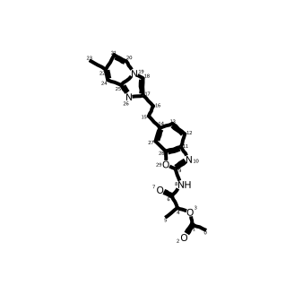 CC(=O)OC(C)C(=O)Nc1nc2ccc(CCc3cn4ccc(C)cc4n3)cc2o1